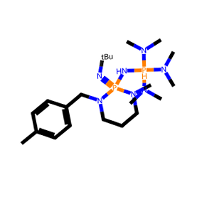 Cc1ccc(CN2CCCN(C)P2(=NC(C)(C)C)N[PH](N(C)C)(N(C)C)N(C)C)cc1